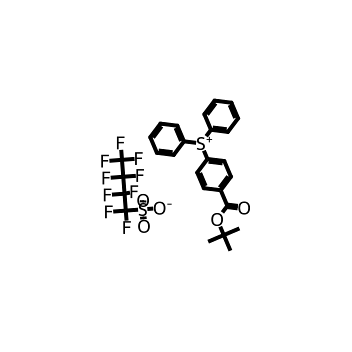 CC(C)(C)OC(=O)c1ccc([S+](c2ccccc2)c2ccccc2)cc1.O=S(=O)([O-])C(F)(F)C(F)(F)C(F)(F)C(F)(F)F